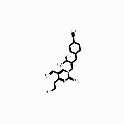 C#CC1CCC(C/C(=C/N2C=C(C=C)C(CCC)=NC2=C)C(C)C)CC1